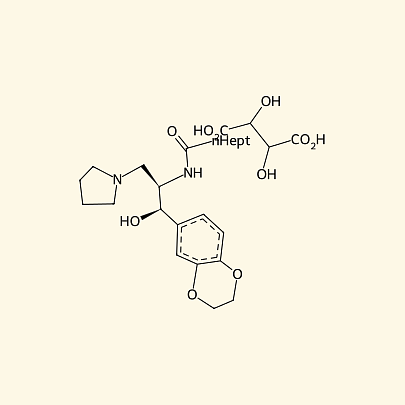 CCCCCCCC(=O)N[C@H](CN1CCCC1)[C@H](O)c1ccc2c(c1)OCCO2.O=C(O)C(O)C(O)C(=O)O